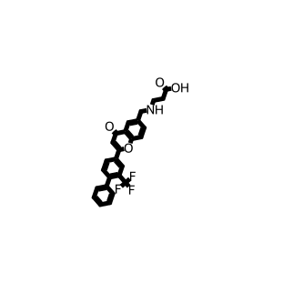 O=C(O)CCNCc1ccc2oc(-c3ccc(-c4ccccc4)c(C(F)(F)F)c3)cc(=O)c2c1